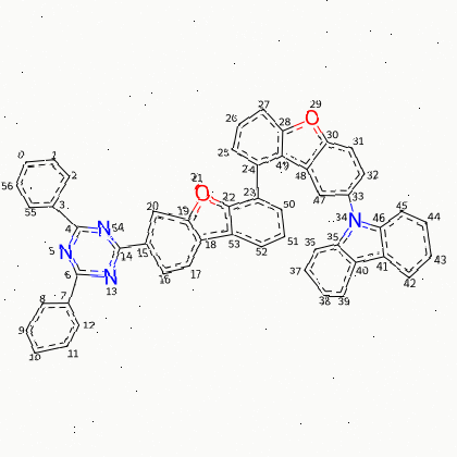 c1ccc(-c2nc(-c3ccccc3)nc(-c3ccc4c(c3)oc3c(-c5cccc6oc7ccc(-n8c9ccccc9c9ccccc98)cc7c56)cccc34)n2)cc1